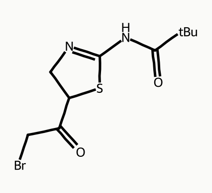 CC(C)(C)C(=O)NC1=NCC(C(=O)CBr)S1